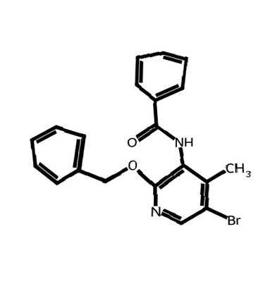 Cc1c(Br)cnc(OCc2ccccc2)c1NC(=O)c1ccccc1